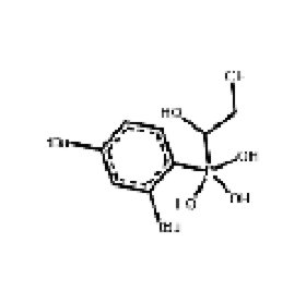 CC(C)(C)c1ccc(P(O)(O)(O)C(O)CO)c(C(C)(C)C)c1